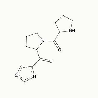 O=C(c1cs[c]n1)C1CCCN1C(=O)C1CCCN1